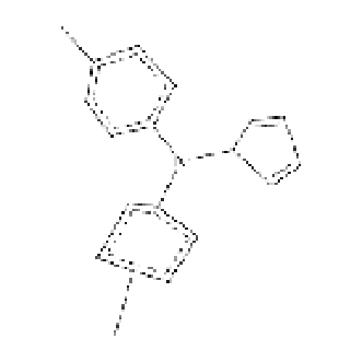 Cc1ccc(N(c2ccc(C)cc2)C2C=CC=C2)cc1